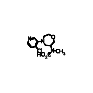 CN(C(=O)O)C1COCCN(c2cnccc2Cl)C1